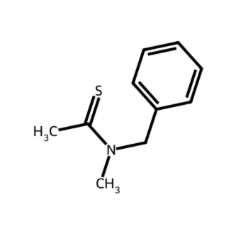 CC(=S)N(C)Cc1ccccc1